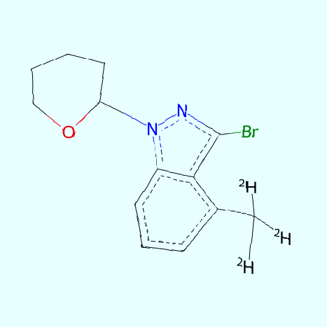 [2H]C([2H])([2H])c1cccc2c1c(Br)nn2C1CCCCO1